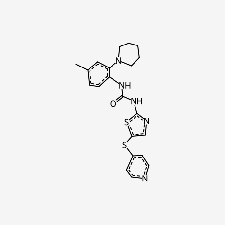 Cc1ccc(NC(=O)Nc2ncc(Sc3ccncc3)s2)c(N2CCCCC2)c1